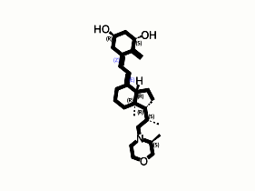 C=C1/C(=C\C=C2/CCC[C@]3(C)[C@@H]([C@H](C)CN4CCOC[C@@H]4C)CC[C@@H]23)C[C@@H](O)C[C@@H]1O